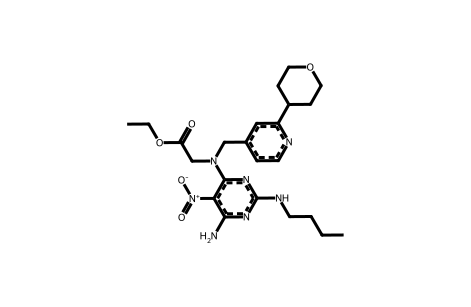 CCCCNc1nc(N)c([N+](=O)[O-])c(N(CC(=O)OCC)Cc2ccnc(C3CCOCC3)c2)n1